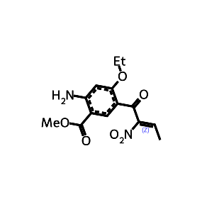 C/C=C(/C(=O)c1cc(C(=O)OC)c(N)cc1OCC)[N+](=O)[O-]